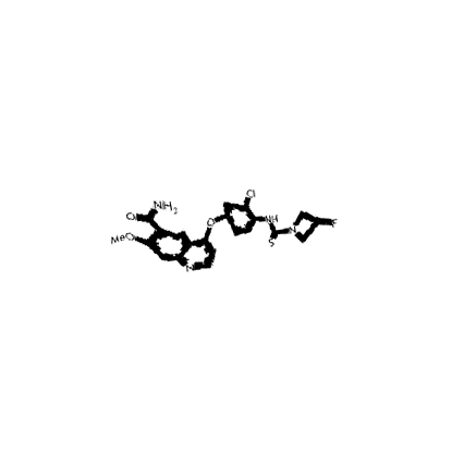 COc1cc2nccc(Oc3ccc(NC(=S)N4CC(F)C4)c(Cl)c3)c2cc1C(N)=O